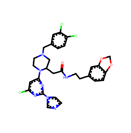 O=C(CC1CN(Cc2ccc(Cl)c(Cl)c2)CCN1c1cc(Cl)nc(-n2ccnc2)n1)NCCc1ccc2c(c1)OCO2